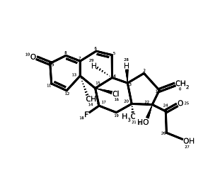 C=C1C[C@H]2[C@@H]3C=CC4=CC(=O)C=C[C@]4(C)[C@@]3(Cl)C(F)C[C@]2(C)[C@@]1(O)C(=O)CO